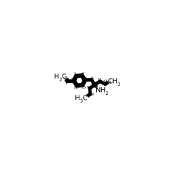 C=Cc1ccc(CC(N)(CCC)CCC)cc1